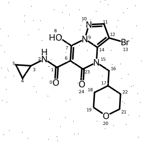 O=C(NC1CC1)c1c(O)n2ncc(Br)c2n(CC2CCOCC2)c1=O